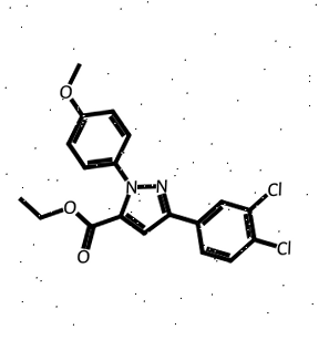 CCOC(=O)c1cc(-c2ccc(Cl)c(Cl)c2)nn1-c1ccc(OC)cc1